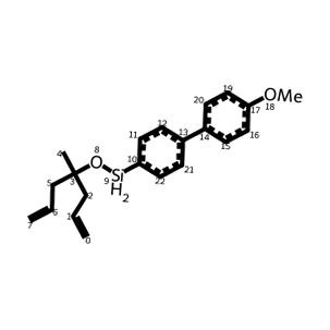 C=CCC(C)(CC=C)O[SiH2]c1ccc(-c2ccc(OC)cc2)cc1